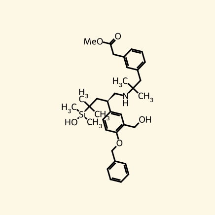 COC(=O)Cc1cccc(CC(C)(C)NC[C@H](CC(C)(C)[Si](C)(C)O)c2ccc(OCc3ccccc3)c(CO)c2)c1